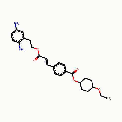 CCOC1CCC(OC(=O)c2ccc(/C=C/C(=O)OCCc3cc(N)ccc3N)cc2)CC1